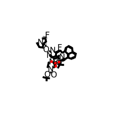 COc1nc(-c2cccc3cccc(C#C[Si](C(C)C)(C(C)C)C(C)C)c23)c(F)c2nc(OC[C@@]34CCCN3C[C@H](F)C4)nc(N3CCN(C(=O)OC(C)(C)C)CC3)c12